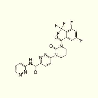 O=C(Nc1cccnn1)c1ccc(N2CCCN(C(=O)c3cc(F)cc(F)c3C(F)(F)F)C2=O)nn1